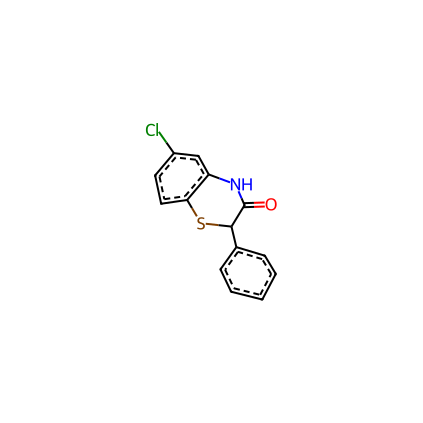 O=C1Nc2cc(Cl)ccc2SC1c1ccccc1